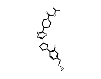 COOSc1ccc(N2CC[C@H](c3nnc(C4CCN(C(=O)OC(C)C)CC4)o3)C2)c(F)c1